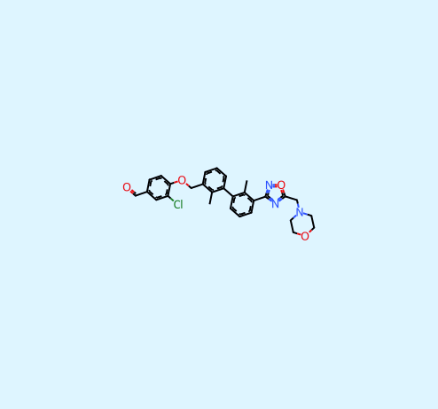 Cc1c(COc2ccc(C=O)cc2Cl)cccc1-c1cccc(-c2noc(CN3CCOCC3)n2)c1C